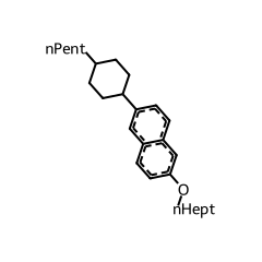 CCCCCCCOc1ccc2cc(C3CCC(CCCCC)CC3)ccc2c1